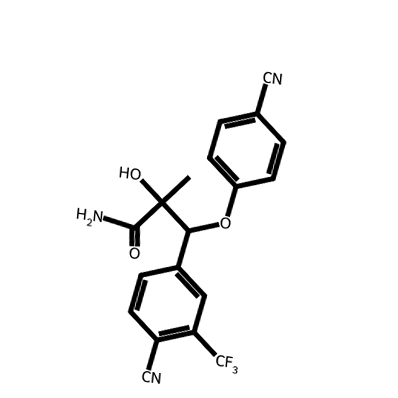 CC(O)(C(N)=O)C(Oc1ccc(C#N)cc1)c1ccc(C#N)c(C(F)(F)F)c1